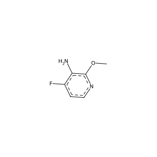 COc1nccc(F)c1N